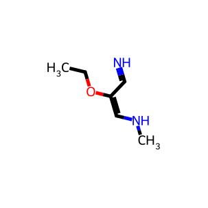 CCO/C(C=N)=C/NC